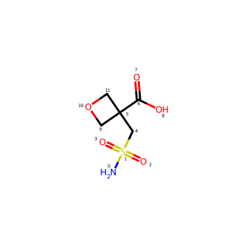 NS(=O)(=O)CC1(C(=O)O)COC1